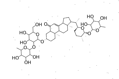 CC1OC(OC2C(O[C@H]3CC[C@@]4(C)C(C3)C(=O)C=C3C4CC[C@@]4(C)C3CCC4[C@H](C)[C@@H]3CC[C@@H](C)[C@H](OC4OC(C)C(O)C(O)C4O)O3)OC(CO)C(O)C2O)C(O)C(O)C1O